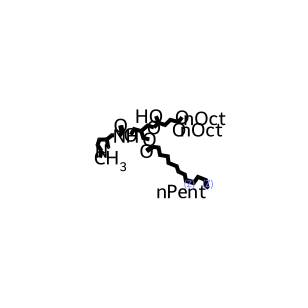 CCCCC/C=C\C/C=C\CCCCCCCC(=O)OCC(COC(=O)NCC1CCN(C)C1)COC(O)CCC(OCCCCCCCC)OCCCCCCCC